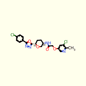 Cc1ncc(OCC(=O)N[C@@H]2CC[C@@H](c3nnc(-c4ccc(Cl)cc4)o3)OC2)cc1Cl